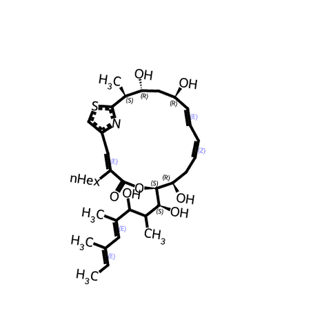 C/C=C(C)/C=C(\C)C(O)C(C)[C@H](O)[C@H]1OC(=O)/C(CCCCCC)=C/c2csc(n2)[C@@H](C)[C@H](O)C[C@@H](O)/C=C/C=C\C[C@H]1O